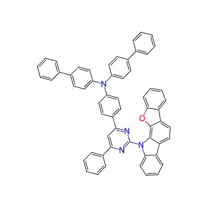 c1ccc(-c2ccc(N(c3ccc(-c4ccccc4)cc3)c3ccc(-c4cc(-c5ccccc5)nc(-n5c6ccccc6c6ccc7c8ccccc8oc7c65)n4)cc3)cc2)cc1